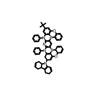 CC(C)(C)c1cc2c3c(c1)N(c1ccccc1)c1nc4c(cc1B3c1ccccc1O2)B1C2=C(CC(N3C5=C(CCC=C5)C5CC=CCC53)C=C2OC2C=CC=CC12)N4c1ccccc1